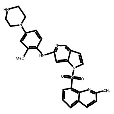 COc1cc(N2CCNCC2)ccc1Nc1cc2c(ccn2S(=O)(=O)c2cccc3ccc(C)nc23)cn1